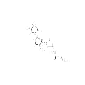 CC(C)(C)OC(=O)NCC1CCN(c2nc(-c3ccc(Cl)c(C(F)(F)F)c3)ncc2C#N)C1